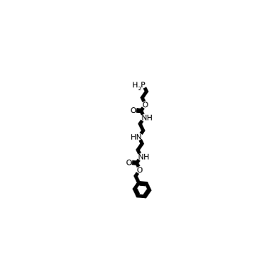 O=C(NCCNCCNC(=O)OCc1ccccc1)OCCP